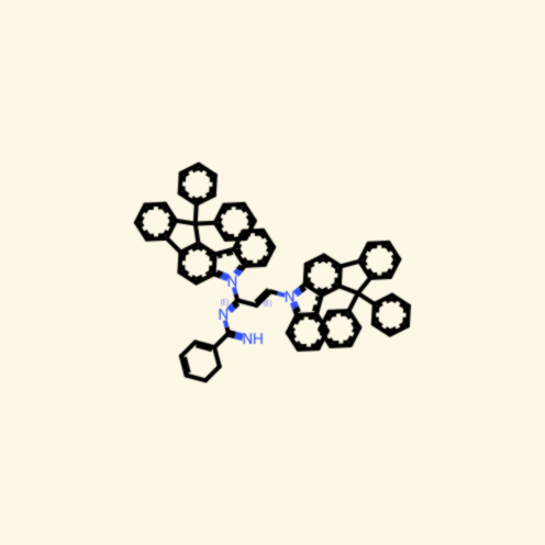 N=C(/N=C(\C=C\n1c2ccccc2c2c3c(ccc21)-c1ccccc1C3(c1ccccc1)c1ccccc1)n1c2ccccc2c2c3c(ccc21)-c1ccccc1C3(c1ccccc1)c1ccccc1)C1=CC=CCC1